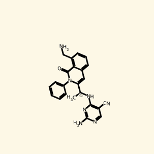 C[C@H](Nc1nc(N)ncc1C#N)c1cc2cccc(CN)c2c(=O)n1-c1ccccc1